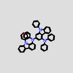 c1ccc(N(c2ccccc2)c2cc(N(c3ccccc3)c3cccc4c5ccccc5n(-c5ccccc5)c34)cc3c2c2ccccc2n3-c2ccccc2)cc1